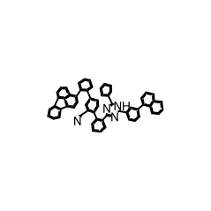 N#Cc1cc(-c2ccccc2-c2ccc3c4c(cccc24)-c2ccccc2-3)ccc1-c1ccccc1C1=NC(c2cccc(-c3cccc4ccccc34)c2)NC(c2ccccc2)=N1